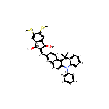 CSc1cc2c(cc1SC)C(=O)C(=Cc1ccc3c4c(ccc3c1)N(c1ccccc1)c1ccccc1C4(C)C)C2=O